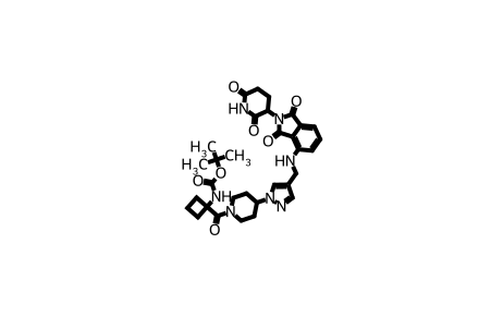 CC(C)(C)OC(=O)NC1(C(=O)N2CCC(n3cc(CNc4cccc5c4C(=O)N(C4CCC(=O)NC4=O)C5=O)cn3)CC2)CCC1